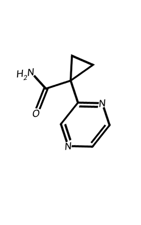 NC(=O)C1(c2cnccn2)CC1